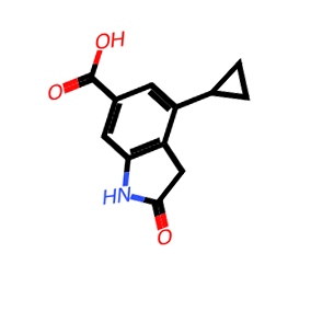 O=C1Cc2c(cc(C(=O)O)cc2C2CC2)N1